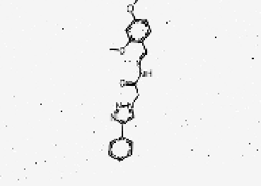 COc1ccc(/C=N/NC(=O)Cn2cc(-c3ccccc3)nn2)c(OC)c1